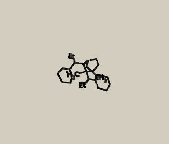 CCC(C1CCCCC1)C1C2CCC(C)(C2)C1(C)C(CC)C1CCCCC1